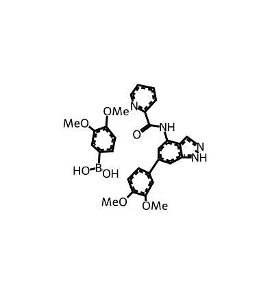 COc1ccc(-c2cc(NC(=O)c3ccccn3)c3cn[nH]c3c2)cc1OC.COc1ccc(B(O)O)cc1OC